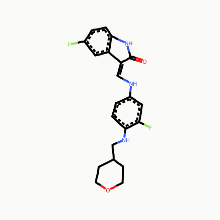 O=C1Nc2ccc(F)cc2C1=CNc1ccc(NCC2CCOCC2)c(F)c1